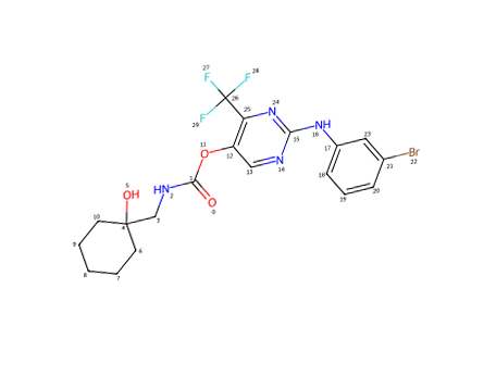 O=C(NCC1(O)CCCCC1)Oc1cnc(Nc2cccc(Br)c2)nc1C(F)(F)F